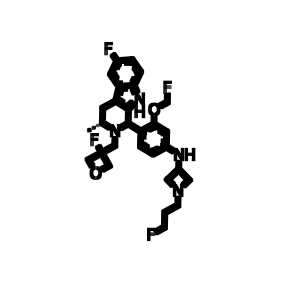 C[C@@H]1Cc2c([nH]c3ccc(F)cc23)C(c2ccc(NC3CN(CCCF)C3)cc2OCF)N1CC1(F)COC1